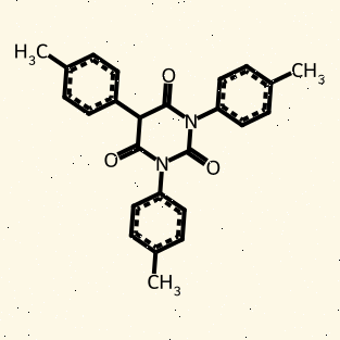 Cc1ccc(C2C(=O)N(c3ccc(C)cc3)C(=O)N(c3ccc(C)cc3)C2=O)cc1